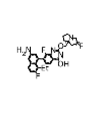 CCc1c(F)ccc2cc(N)cc(-c3ccc4c(O)nc(OC[C@@]56CCCN5C[C@H](F)C6)nc4c3F)c12